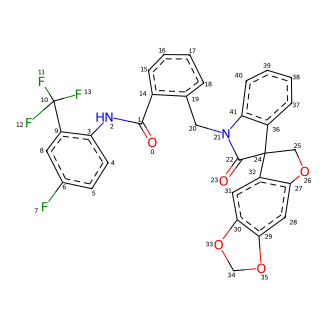 O=C(Nc1ccc(F)cc1C(F)(F)F)c1ccccc1CN1C(=O)C2(COc3cc4c(cc32)OCO4)c2ccccc21